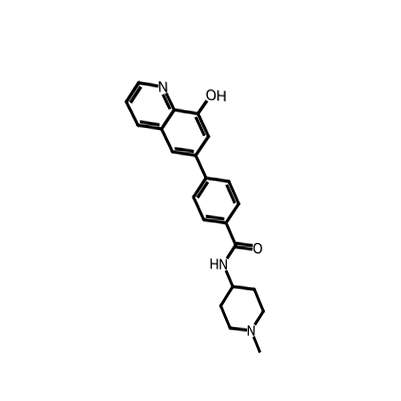 CN1CCC(NC(=O)c2ccc(-c3cc(O)c4ncccc4c3)cc2)CC1